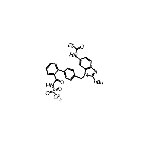 CCCCc1nc2ccc(NC(=O)CC)cc2n1Cc1ccc(-c2ccccc2C(=O)NS(=O)(=O)C(F)(F)F)cc1